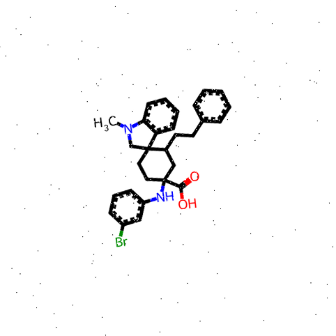 CN1CC2(CCC(Nc3cccc(Br)c3)(C(=O)O)CC2CCc2ccccc2)c2ccccc21